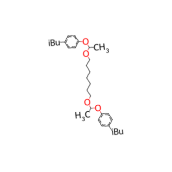 CCC(C)c1ccc(OC(C)OCCCCCCCOC(C)Oc2ccc(C(C)CC)cc2)cc1